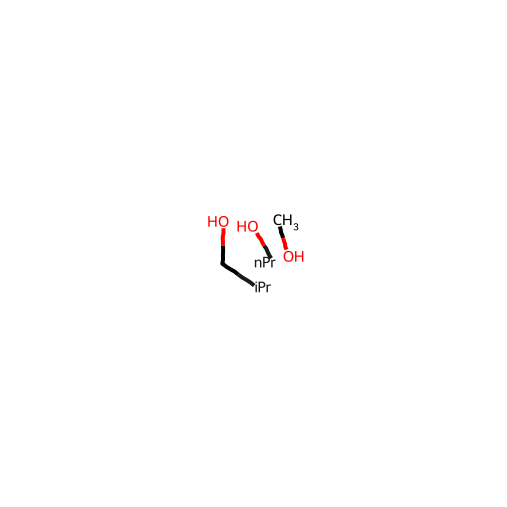 CC(C)CO.CCCO.CO